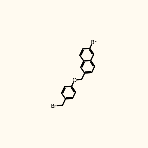 BrCc1ccc(OCc2ccc3cc(Br)ccc3c2)cc1